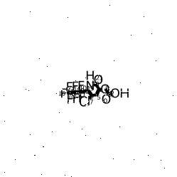 O=C(O)Oc1cc(Cl)c(C(F)(F)C(F)(F)C(F)(F)F)[nH]c1=O